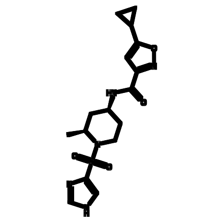 C[C@H]1C[C@@H](NC(=O)c2cc(C3CC3)on2)CCN1S(=O)(=O)c1c[nH]cn1